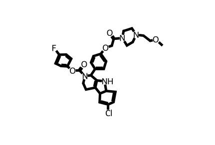 COCCN1CCN(C(=O)COc2ccc(C3C4=C(CCN3C(=O)Oc3ccc(F)cc3)C3C=C(Cl)C=CC3N4)cc2)CC1